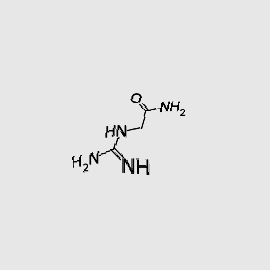 N=C(N)NCC(N)=O